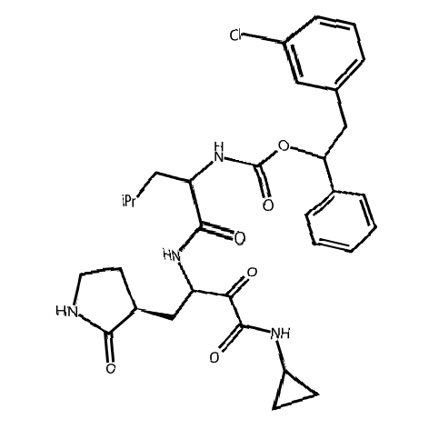 CC(C)CC(NC(=O)OC(Cc1cccc(Cl)c1)c1ccccc1)C(=O)NC(C[C@@H]1CCNC1=O)C(=O)C(=O)NC1CC1